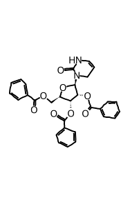 O=C(OC[C@H]1O[C@@H](N2CC=CNC2=O)[C@H](OC(=O)c2ccccc2)[C@@H]1OC(=O)c1ccccc1)c1ccccc1